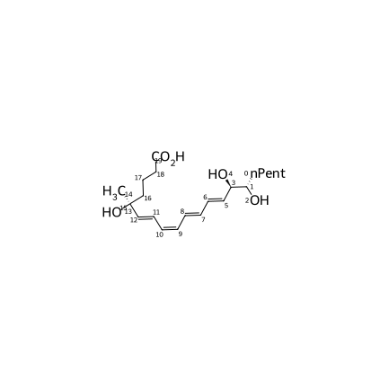 CCCCC[C@H](O)[C@H](O)/C=C/C=C/C=C\C=C\[C@@](C)(O)CCCC(=O)O